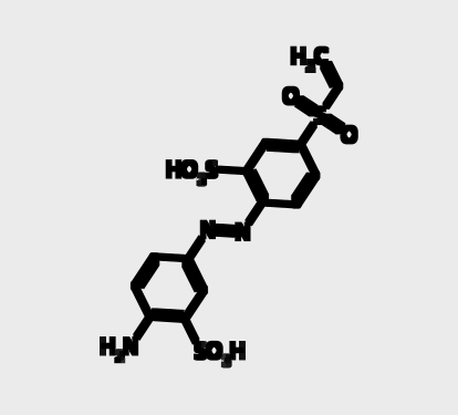 C=CS(=O)(=O)c1ccc(N=Nc2ccc(N)c(S(=O)(=O)O)c2)c(S(=O)(=O)O)c1